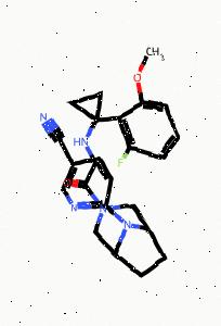 COc1cccc(F)c1C1(NCC(=O)N2CC3CCC(C2)N3c2ccc(C#N)cn2)CC1